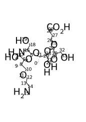 C[C@H](O[C@H](OC(CO)[C@@H](C)COCCCN)[C@@H](N)CO)C(CO)O[C@@H](OCCCC(=O)O)[C@@H](O)CO